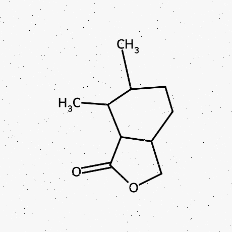 CC1CCC2COC(=O)C2C1C